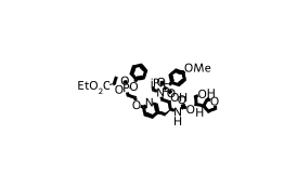 CCOC(=O)[C@H](C)OP(=O)(CCOc1ccc(C[C@H](NC(=O)O[C@H]2CO[C@H]3OCC[C@H]32)[C@H](O)CN(CC(C)C)S(=O)(=O)c2ccc(OC)cc2)cn1)Oc1ccccc1